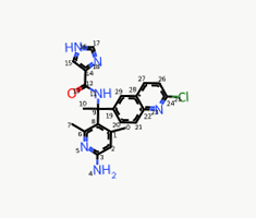 Cc1cc(N)nc(C)c1C(C)(NC(=O)c1c[nH]cn1)c1ccc2nc(Cl)ccc2c1